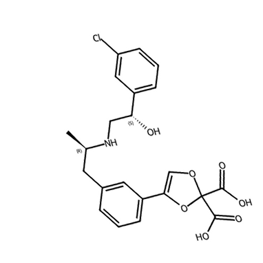 C[C@H](Cc1cccc(C2=COC(C(=O)O)(C(=O)O)O2)c1)NC[C@@H](O)c1cccc(Cl)c1